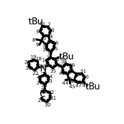 CC(C)(C)c1ccc2c(c1)C(C)(C)c1cc(-c3cc(N(c4ccccc4)c4ccc(-c5ccccc5)cc4)cc(-c4ccc5c(c4)C(C)(C)c4cc(C(C)(C)C)ccc4-5)c3C(C)(C)C)ccc1-2